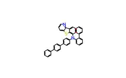 c1ccc(-c2ccc(-c3ccc(N(c4ccccc4-c4ccccc4)c4cccc5c4sc4cccnc45)cc3)cc2)cc1